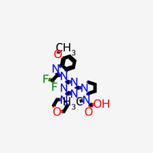 COc1cccc2c1nc(C(F)F)n2-c1nc(N2CCOCC2)nc(N2CCCC2N(C)C(=O)O)n1